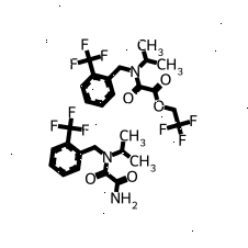 CC(C)N(Cc1ccccc1C(F)(F)F)C(=O)C(=O)OCC(F)(F)F.CC(C)N(Cc1ccccc1C(F)(F)F)C(=O)C(N)=O